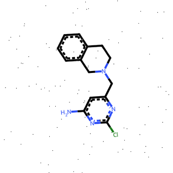 Nc1cc(CN2CCc3ccccc3C2)nc(Cl)n1